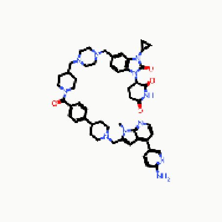 Cn1c(CN2CCC(c3ccc(C(=O)N4CCC(CN5CCN(Cc6ccc7c(c6)n(C6CC6)c(=O)n7C6CCC(=O)NC6=O)CC5)CC4)cc3)CC2)cc2c(-c3ccc(N)nc3)ccnc21